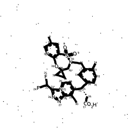 Cc1cnc2c(c1)S(=O)(=O)N(Cc1cc([C@H](CC(=O)O)c3ccn4c(C(F)F)nnc4c3C)ccc1C)CC1(CC1)O2